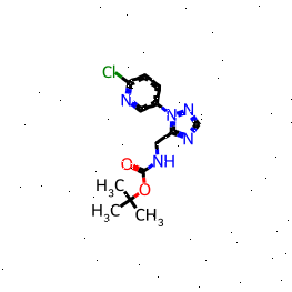 CC(C)(C)OC(=O)NCc1ncnn1-c1ccc(Cl)nc1